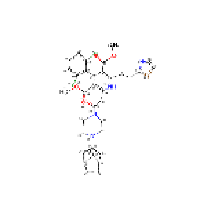 COC(=O)C1=C(CCc2nccs2)NC(CC(=O)N2CCN(C3CC4CCC(C3)C4C)CC2)=C(C(=O)OC)C1c1c(Cl)cccc1Cl